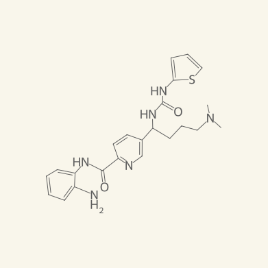 CN(C)CCCC(NC(=O)Nc1cccs1)c1ccc(C(=O)Nc2ccccc2N)nc1